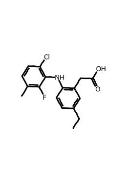 CCc1ccc(Nc2c(Cl)ccc(C)c2F)c(CC(=O)O)c1